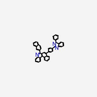 c1ccc(-c2nc(-c3ccc(-c4cc5c(-c6ccc7ccccc7c6)nc6ccccc6c5c5ccccc45)cc3)nc3ccccc23)cc1